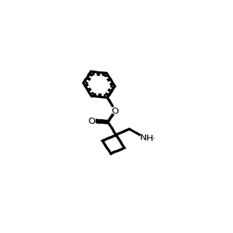 [NH]CC1(C(=O)Oc2ccccc2)CCC1